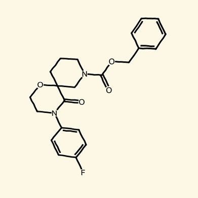 O=C(OCc1ccccc1)N1CCCC2(C1)OCCN(c1ccc(F)cc1)C2=O